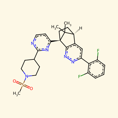 CC1(C)[C@H]2CC[C@@]1(c1ccnc(C3CCN(S(C)(=O)=O)CC3)n1)c1nnc(-c3c(F)cccc3F)cc12